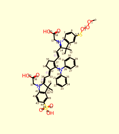 COOOSc1ccc2c(c1)C(C)(C)C(/C=C/C1=C(N(c3ccccc3)c3ccccc3)C(=C/C=C3/N(CC(=O)O)c4ccc(S(=O)(=O)O)cc4C3(C)C)/CC1)=[N+]2CC(=O)O